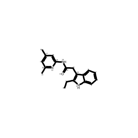 CCc1[nH]c2ccccc2c1CC(=O)Nc1cc(C)cc(C)n1